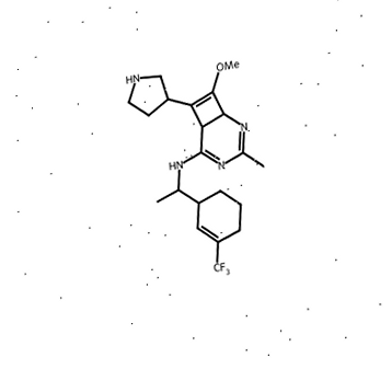 COC1=C(C2CCNC2)C2C(NC(C)C3C=C(C(F)(F)F)CCC3)=NC(C)=NC12